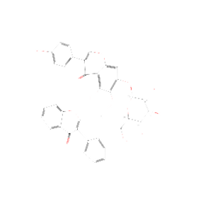 COc1c(O[C@@H]2O[C@H](CO)[C@@H](O)[C@H](O)[C@H]2O)cc2occ(-c3ccc(O)cc3)c(=O)c2c1O.O=c1c(-c2ccccc2)coc2ccccc12